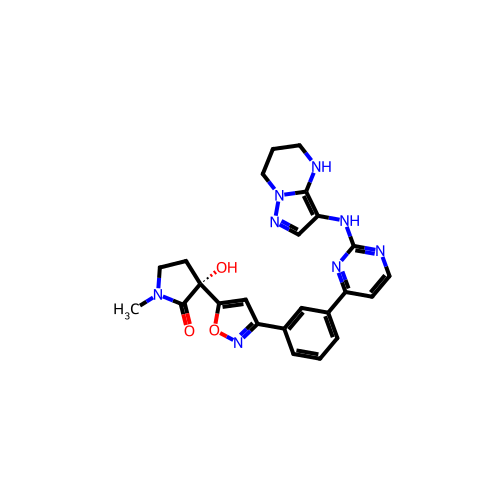 CN1CC[C@@](O)(c2cc(-c3cccc(-c4ccnc(Nc5cnn6c5NCCC6)n4)c3)no2)C1=O